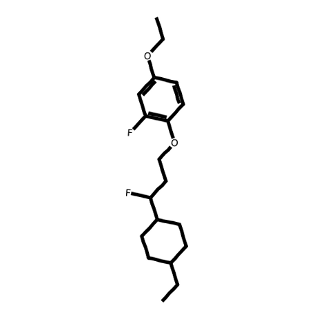 CCOc1ccc(OCCC(F)C2CCC(CC)CC2)c(F)c1